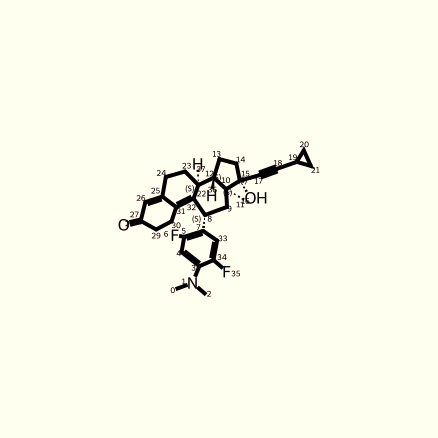 CN(C)c1cc(F)c([C@H]2C[C@@]3(C)[C@@H](CC[C@@]3(O)C#CC3CC3)[C@@H]3CCC4=CC(=O)CCC4=C32)cc1F